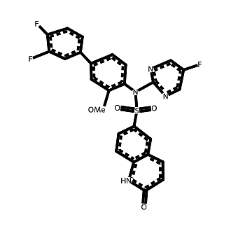 COc1cc(-c2ccc(F)c(F)c2)ccc1N(c1ncc(F)cn1)S(=O)(=O)c1ccc2[nH]c(=O)ccc2c1